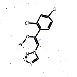 CC(C)O/C(=C\n1cnnn1)c1ccc(Cl)cc1Cl